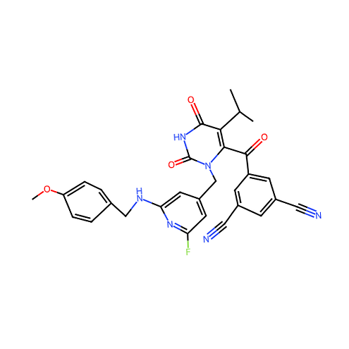 COc1ccc(CNc2cc(Cn3c(C(=O)c4cc(C#N)cc(C#N)c4)c(C(C)C)c(=O)[nH]c3=O)cc(F)n2)cc1